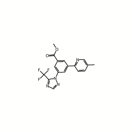 COC(=O)c1cc(-c2ccc(C)cn2)cc(-n2ncnc2C(F)(F)F)c1